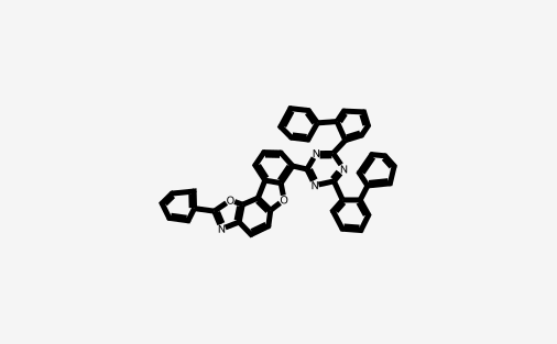 c1ccc(-c2nc3ccc4oc5c(-c6nc(-c7ccccc7-c7ccccc7)nc(-c7ccccc7-c7ccccc7)n6)cccc5c4c3o2)cc1